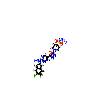 NS(=O)(=O)C1CCN(c2nnc(-c3cnc(NC4Cc5cc(F)c(F)cc5C4)nc3)o2)CC1